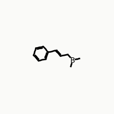 CB(C)CC=Cc1ccccc1